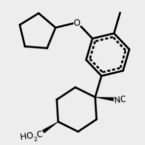 [C-]#[N+][C@]1(c2ccc(C)c(OC3CCCC3)c2)CC[C@H](C(=O)O)CC1